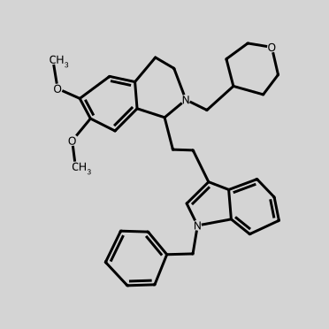 COc1cc2c(cc1OC)C(CCc1cn(Cc3ccccc3)c3ccccc13)N(CC1CCOCC1)CC2